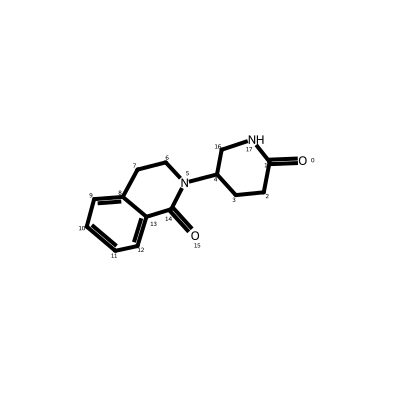 O=C1CCC(N2CCc3ccccc3C2=O)CN1